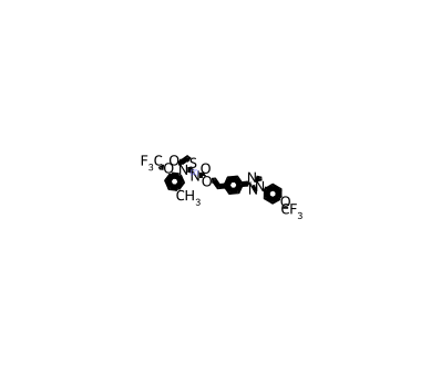 Cc1ccc(OCC(F)(F)F)c(N2C(=O)CS/C2=N\C(=O)OCCc2ccc(-c3ncn(-c4ccc(OC(F)(F)F)cc4)n3)cc2)c1